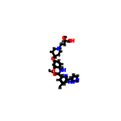 COc1cc(OC2CCN(CCC(=O)O)CC2)ccc1NC(=O)c1cc(C)cc(-c2ccn[nH]2)n1